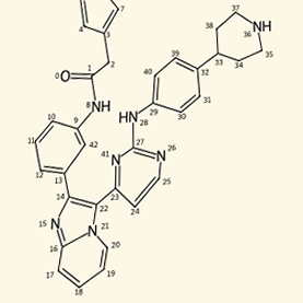 O=C(Cc1ccsc1)Nc1cccc(-c2nc3ccccn3c2-c2ccnc(Nc3ccc(C4CCNCC4)cc3)n2)c1